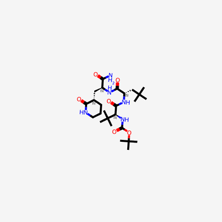 CC(C)(C)C[C@H](NC(=O)[C@@H](NC(=O)OC(C)(C)C)C(C)(C)C)C(=O)N[C@@H](C[C@@H]1CCCNC1=O)C(N)=O